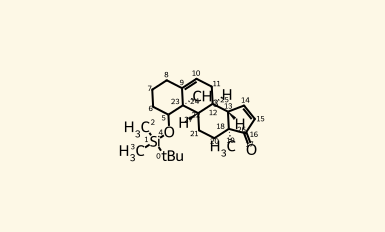 CC(C)(C)[Si](C)(C)OC1CCCC2=CC[C@H]3[C@@H]4C=CC(=O)[C@@]4(C)CC[C@@H]3[C@]21C